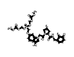 CC(=O)c1cn(CC(=O)N2C[C@H](F)C[C@H]2C(=O)NCc2cccc(Cl)c2F)c2cc(OCP(=O)(OCOC(=O)OC(C)C)OCOC(=O)OC(C)C)ccc12